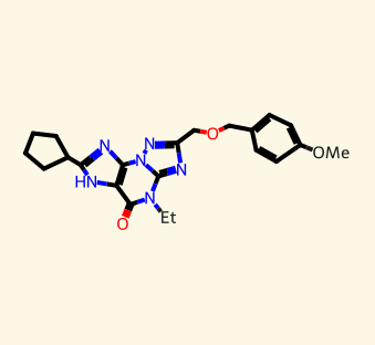 CCn1c(=O)c2[nH]c(C3CCCC3)nc2n2nc(COCc3ccc(OC)cc3)nc12